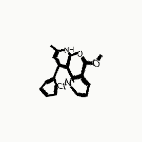 COC(=O)c1cccnc1C1=C(C)NC(C)=CC1c1ccccc1Cl